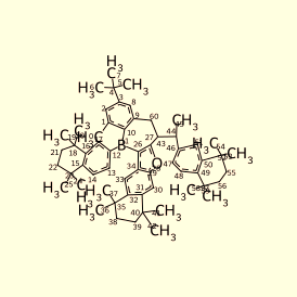 Cc1cc(C(C)(C)C)cc2c1B(c1ccc3c(c1)C(C)(C)CCC3(C)C)c1c(oc3cc4c(cc13)C(C)(C)CCC4(C)C)C(C(C)c1ccc3c(c1)C(C)(C)CCC3(C)C)C2